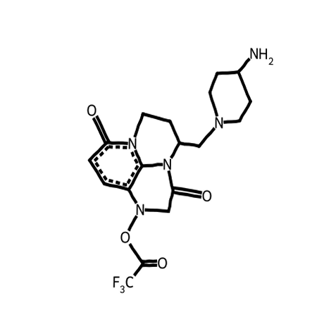 NC1CCN(CC2CCn3c4c(ccc3=O)N(OC(=O)C(F)(F)F)CC(=O)N42)CC1